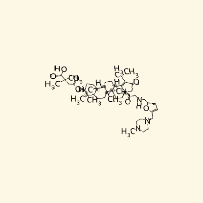 CC(C)C1=C2[C@H]3CC[C@@H]4[C@@]5(C)CC[C@H](OC(=O)CC(C)(C)C(=O)O)C(C)(C)C5CC[C@@]4(C)[C@]3(C)CC[C@@]2(C(=O)CNCc2ccc(CN3CCN(C)CC3)o2)CC1=O